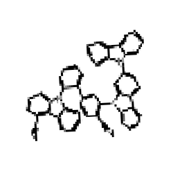 N#Cc1ccc(-c2ccccc2-n2c3ccccc3c3c(C#N)cccc32)cc1-n1c2ccccc2c2ccc(-n3c4ccccc4c4ccccc43)cc21